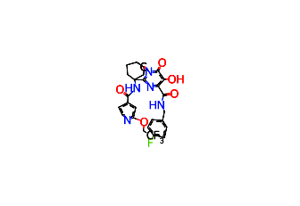 O=C(NC12CCC(CC1)Cn1c2nc(C(=O)NCc2ccc(F)cc2)c(O)c1=O)c1ccnc(OCC(F)(F)F)c1